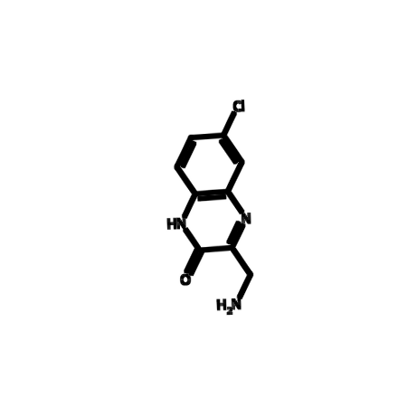 NCc1nc2cc(Cl)ccc2[nH]c1=O